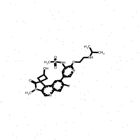 CC(C)NCCOc1ncc(-c2cc3c4c(cnc3cc2F)N(C)C(=O)C42CC(O)C2)cc1NS(C)(=O)=O